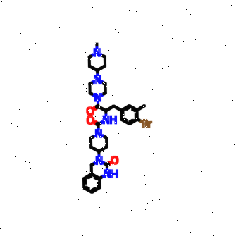 Cc1cc(CC(NC(=O)N2CCC(N3Cc4ccccc4NC3=O)CC2)C(=O)N2CCN(C3CCN(C)CC3)CC2)ccc1Br